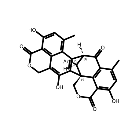 CC(=O)O[C@H]1[C@@H]2C(=O)c3c(C)cc(O)c4c3[C@]1(COC4=O)c1c(O)c3c4c(c(O)cc(C)c4c12)C(=O)OC3